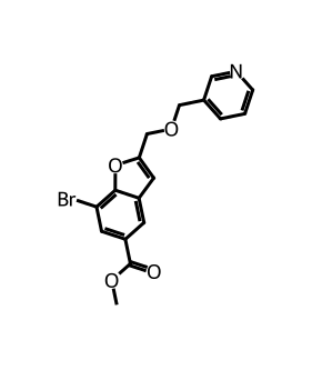 COC(=O)c1cc(Br)c2oc(COCc3cccnc3)cc2c1